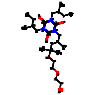 CC(C)CC(Cn1c(=O)n(CC(CC(C)(C)SCCOCCO)C(C)C)c(=O)n(CC(CC(C)C)C(C)(C)C)c1=O)C(C)(C)C